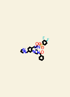 O=C(CCc1ccc(Cn2cccn2)cc1N1CCN(C(=O)c2ccccc2)CC1)NS(=O)(=O)c1ccc(F)c(F)c1